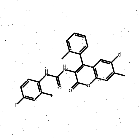 Cc1cc2oc(=O)c(NC(=O)Nc3ccc(F)cc3F)c(-c3ccccc3C)c2cc1Cl